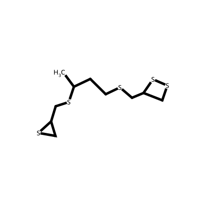 CC(CCSCC1CSS1)SCC1CS1